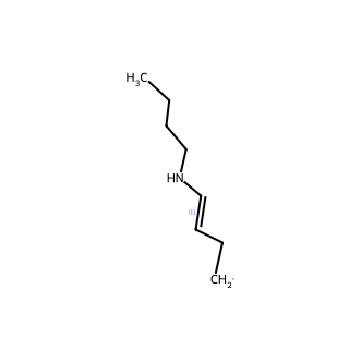 [CH2]C/C=C/NCCCC